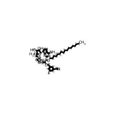 CCCCCCCCCCCCCCCCCOC[C@H](CNP(=O)(O)OC[C@@]1(C)O[C@@H](c2ccc3c(N)ncnn23)[C@H](O)[C@@H]1O)OCc1cc(F)cc(C#N)c1